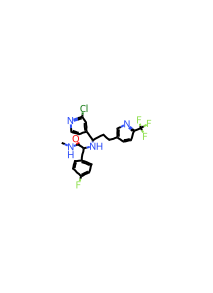 CNC(=O)C(NC(CCc1ccc(C(F)(F)F)nc1)c1ccnc(Cl)c1)c1ccc(F)cc1